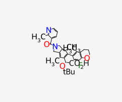 Cc1ncccc1C(=O)N1Cc2c(C)c(-c3cc(F)c4c(c3C)CCCO4)c([C@H](OC(C)(C)C)C(=O)O)c(C)c2C1